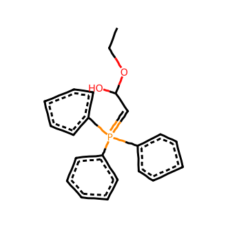 CCOC(O)C=P(c1ccccc1)(c1ccccc1)c1ccccc1